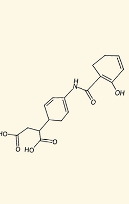 O=C(O)CC(C(=O)O)C1C=CC(NC(=O)C2=C(O)C=CCC2)=CC1